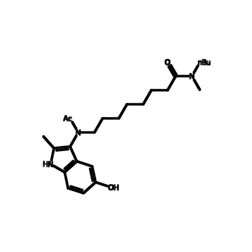 CCCCN(C)C(=O)CCCCCCCN(C(C)=O)c1c(C)[nH]c2ccc(O)cc12